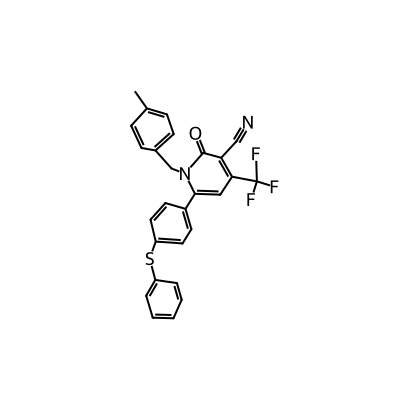 Cc1ccc(Cn2c(-c3ccc(Sc4ccccc4)cc3)cc(C(F)(F)F)c(C#N)c2=O)cc1